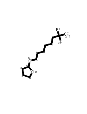 FC(F)(F)C(F)(F)CCCCCCOC1CCCO1